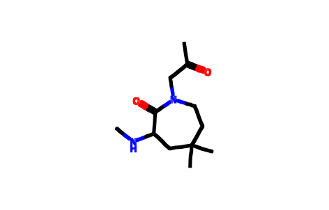 CNC1CC(C)(C)CCN(CC(C)=O)C1=O